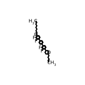 C/C=C/CCC1CCC(c2ccc(-c3ccc(-c4ccc(OCCCCCCCC)c(F)c4F)cc3)c(F)c2F)CO1